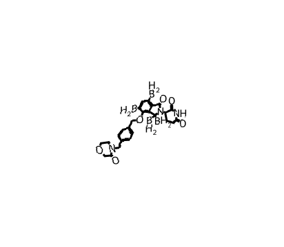 Bc1cc(B)c2c(c1OCc1ccc(CN3CCOCC3=O)cc1)C(B)(B)N(C1CCC(=O)NC1=O)C2=O